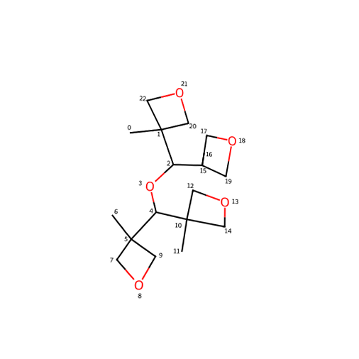 CC1(C(OC(C2(C)COC2)C2(C)COC2)C2(C)COC2)COC1